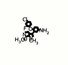 COc1nccc2c(-c3cc(N)ccc3Oc3ccc(Cl)cc3F)cn(C)c12